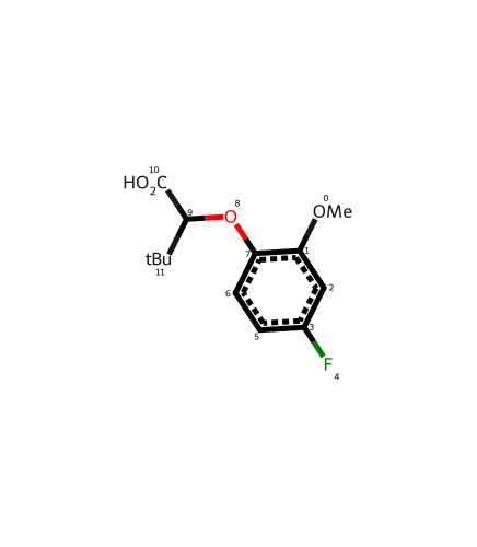 COc1cc(F)ccc1OC(C(=O)O)C(C)(C)C